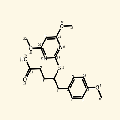 COc1ccc(CC(CCC(=O)O)Sc2nc(OC)cc(OC)n2)cc1